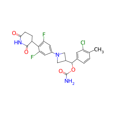 Cc1ccc(C(OC(N)=O)C2CN(c3cc(F)c(C4CCC(=O)NC4=O)c(F)c3)C2)cc1Cl